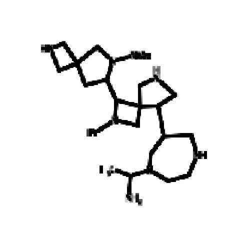 CNN1CC2(CNC2)CC1C1N(C(C)C)CC12CNCC2C1CNCCN(C(C)N)C1